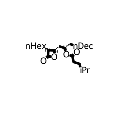 CCCCCCCCCCC[C@@H](C[C@@H]1OC(=O)[C@H]1CCCCCC)OC(=O)CCC(C)C